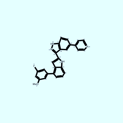 COc1cc(F)cc(-c2cccc3[nH]c(-c4n[nH]c5ccc(-c6ccncc6)cc45)cc23)c1